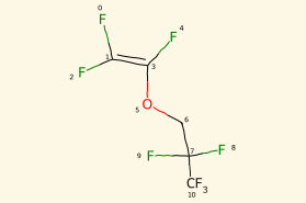 FC(F)=C(F)OCC(F)(F)C(F)(F)F